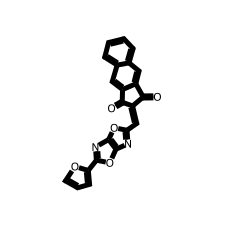 O=C1C(=Cc2nc3oc(-c4ccco4)nc3o2)C(=O)c2cc3ccccc3cc21